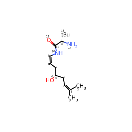 CC(C)=CC[C@H](O)C/C=C\NC(=O)[C@@H](N)C(C)(C)C